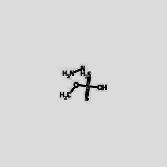 COS(O)(=S)=S.NN